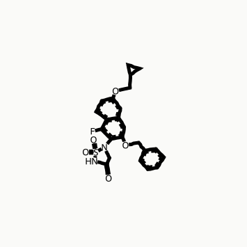 O=C1CN(c2c(OCc3ccccc3)cc3cc(OCC4CC4)ccc3c2F)S(=O)(=O)N1